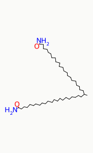 CC(CCCCCCCCCCCCCCCCCCCCCC(N)=O)CCCCCCCCCCCCCCCCCCCCCC(N)=O